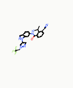 CC(C)c1c(C#N)cccc1C(=O)Nc1ccc2cnn(-c3cnn(CC(F)(F)F)c3)c2c1